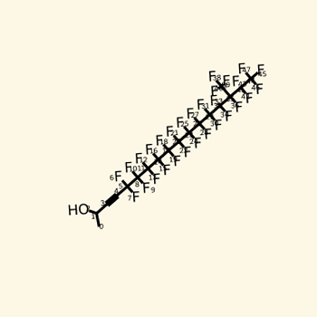 CC(O)C#CC(F)(F)C(F)(F)C(F)(F)C(F)(F)C(F)(F)C(F)(F)C(F)(F)C(F)(F)C(F)(F)C(F)(F)C(F)(C(F)(F)F)C(F)(F)C(F)(F)F